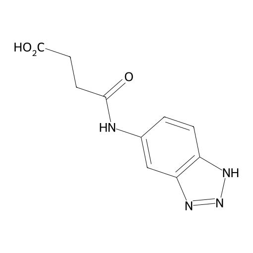 O=C(O)CCC(=O)Nc1ccc2[nH]nnc2c1